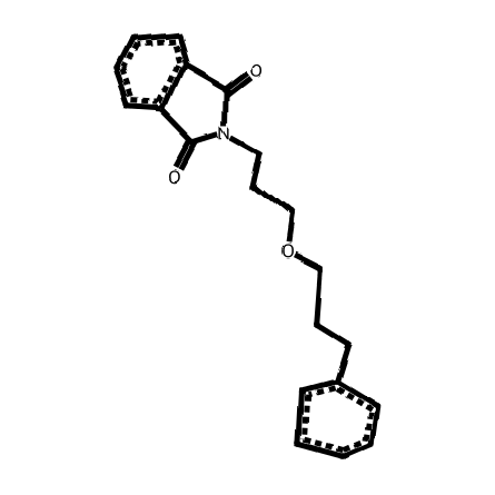 O=C1c2ccccc2C(=O)N1CCCOCCCc1ccccc1